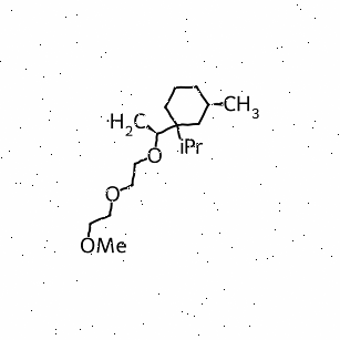 [CH2]OCCOCCO[C@@H]([CH2])C1(C(C)C)CCC[C@@H](C)C1